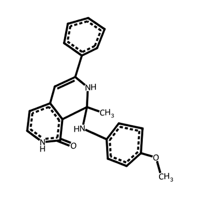 COc1ccc(NC2(C)NC(c3ccccc3)=Cc3cc[nH]c(=O)c32)cc1